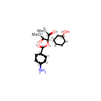 COC(=O)C(OC(=O)c1ccc(N)cc1)(C(=O)OC)[C@H]1CCC[C@H](O)C1